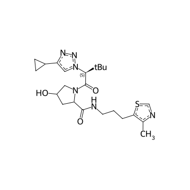 Cc1ncsc1CCCNC(=O)C1CC(O)CN1C(=O)[C@@H](n1cc(C2CC2)nn1)C(C)(C)C